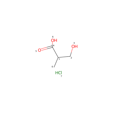 CC(CO)C(=O)O.Cl